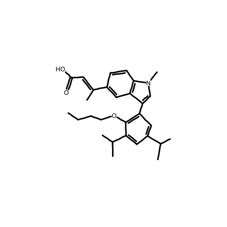 CCCCOc1c(-c2cn(C)c3ccc(C(C)=CC(=O)O)cc23)cc(C(C)C)cc1C(C)C